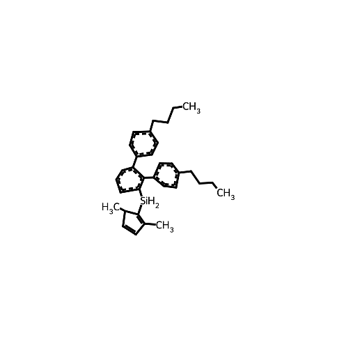 CCCCc1ccc(-c2cccc([SiH2]C3=C(C)C=CC3C)c2-c2ccc(CCCC)cc2)cc1